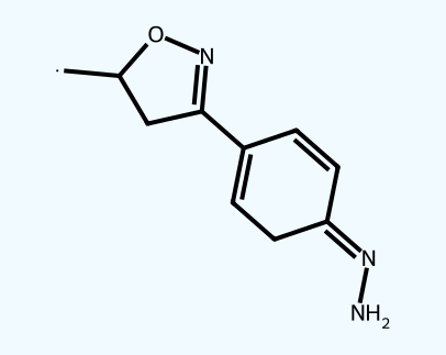 [CH2]C1CC(C2=CCC(=NN)C=C2)=NO1